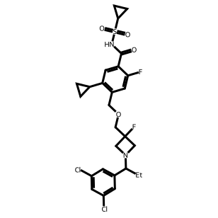 CCC(c1cc(Cl)cc(Cl)c1)N1CC(F)(COCc2cc(F)c(C(=O)NS(=O)(=O)C3CC3)cc2C2CC2)C1